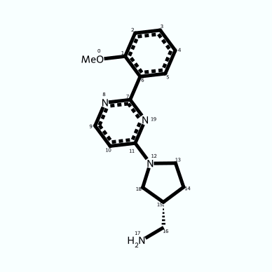 COc1ccccc1-c1nccc(N2CC[C@H](CN)C2)n1